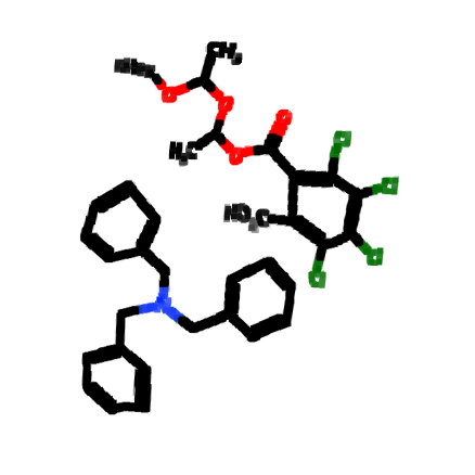 CCCCCCOC(C)OC(C)OC(=O)c1c(Cl)c(Cl)c(Cl)c(Cl)c1C(=O)O.c1ccc(CN(Cc2ccccc2)Cc2ccccc2)cc1